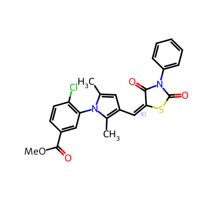 COC(=O)c1ccc(Cl)c(-n2c(C)cc(/C=C3/SC(=O)N(c4ccccc4)C3=O)c2C)c1